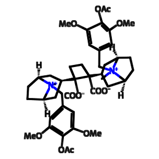 COc1cc(C[N+]2(C)[C@@H]3CC[C@H]2C[C@@H](C2(C(=O)[O-])CCC2(C(=O)[O-])[C@H]2C[C@H]4CC[C@@H](C2)[N+]4(C)Cc2cc(OC)c(OC(C)=O)c(OC)c2)C3)cc(OC)c1OC(C)=O